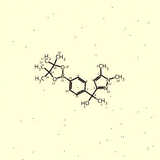 Cc1cc(C(C)(O)c2ccc(B3OC(C)(C)C(C)(C)O3)cc2)nn1C